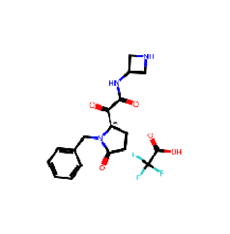 O=C(NC1CNC1)C(=O)[C@H]1CCC(=O)N1Cc1ccccc1.O=C(O)C(F)(F)F